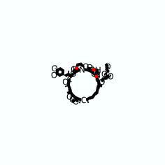 COCCS(=O)(=O)CCO[C@@H]1C[C@@H]2CC[C@@H](C)[C@@](O)(O2)C(=O)C(=O)N2CCCC[C@H]2C(=O)O[C@H]([C@H](C)C[C@@H]2CC[C@@H](OC)[C@H](OC)C2)CC(=O)[C@H](C)/C=C(\C)[C@@H](OC)[C@@H](OC)C(=O)[C@H](C)C[C@H](C)/C=C/C=C/C=C/1C